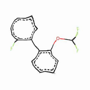 Fc1ccccc1-c1cc[c]cc1OC(F)F